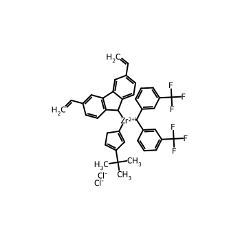 C=Cc1ccc2c(c1)-c1cc(C=C)ccc1[CH]2[Zr+2]([C]1=CC(C(C)(C)C)=CC1)=[C](c1cccc(C(F)(F)F)c1)c1cccc(C(F)(F)F)c1.[Cl-].[Cl-]